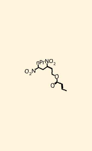 C/C=C/C(=O)OCCC(CC(CCC)[N+](=O)[O-])[N+](=O)[O-]